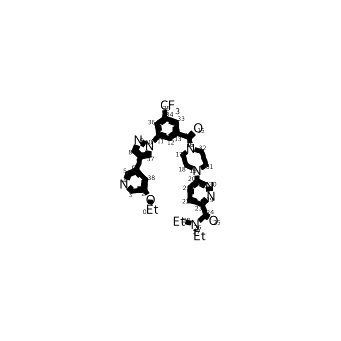 CCOc1cncc(-c2cnn(-c3cc(C(=O)N4CCN(c5ccc(C(=O)N(CC)CC)nn5)CC4)cc(C(F)(F)F)c3)c2)c1